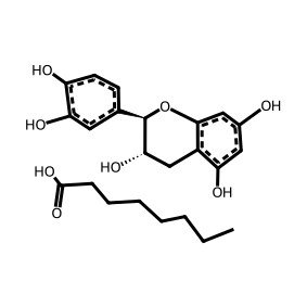 CCCCCCCC(=O)O.Oc1cc(O)c2c(c1)O[C@H](c1ccc(O)c(O)c1)[C@@H](O)C2